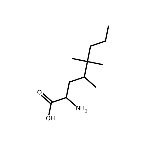 CCCC(C)(C)C(C)CC(N)C(=O)O